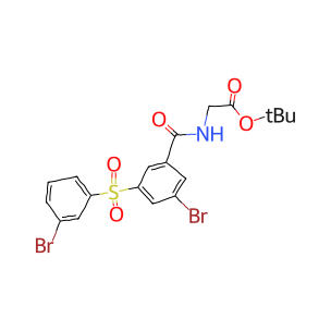 CC(C)(C)OC(=O)CNC(=O)c1cc(Br)cc(S(=O)(=O)c2cccc(Br)c2)c1